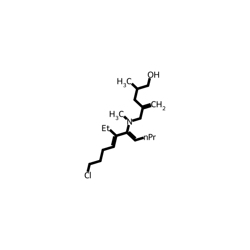 C=C(CC(C)CO)CN(C)C(=CCCC)C(=CCCCCl)CC